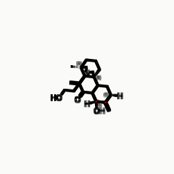 C=C1C(=O)C23CC[C@@H](CC2[C@@]24CCC[C@@](C)(CN(CCO)C2)C14)C(=C)[C@@H]3O